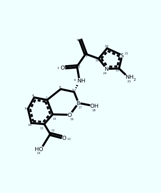 C=C(C(=O)N[C@H]1Cc2cccc(C(=O)O)c2OB1O)c1csc(N)n1